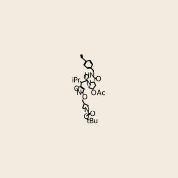 C#Cc1ccc(CNC(=O)[C@@H]2C[C@@H](OC(C)=O)CN2C(=O)C(c2cc(OCC3CN(C(=O)OC(C)(C)C)C3)no2)C(C)C)cc1